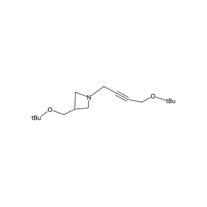 CC(C)(C)OCC#CCN1CC(COC(C)(C)C)C1